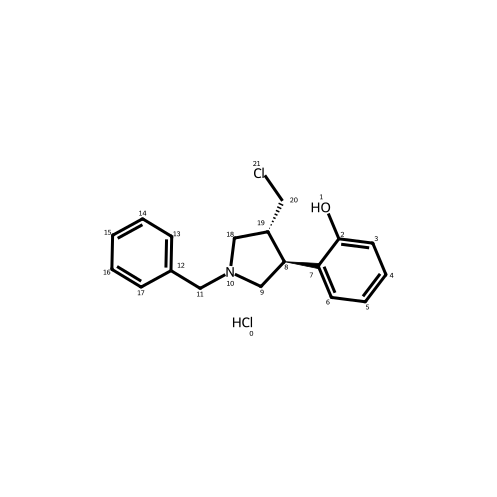 Cl.Oc1ccccc1[C@H]1CN(Cc2ccccc2)C[C@@H]1CCl